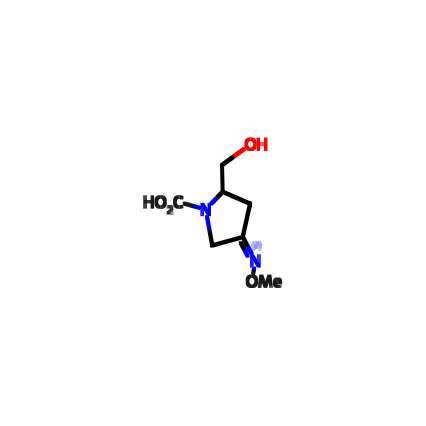 CO/N=C1/CC(CO)N(C(=O)O)C1